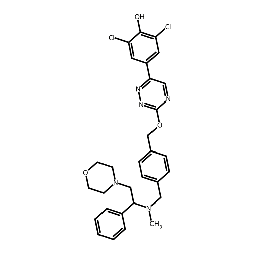 CN(Cc1ccc(COc2ncc(-c3cc(Cl)c(O)c(Cl)c3)nn2)cc1)C(CN1CCOCC1)c1ccccc1